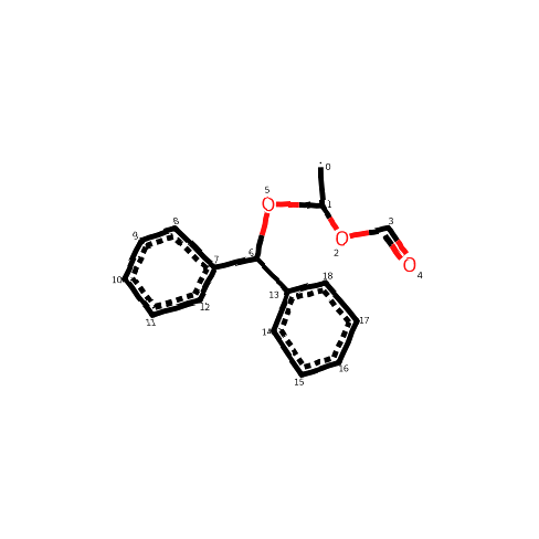 [CH2]C(OC=O)OC(c1ccccc1)c1ccccc1